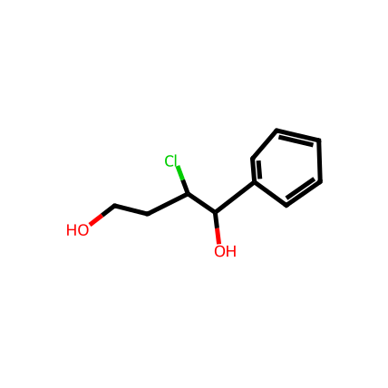 OCCC(Cl)C(O)c1ccccc1